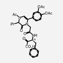 CC(=O)Oc1ccc(C2=CN(C(C)=O)C(C(C)C)C(=O)N2CC(=O)N[C@@H](Cc2ccccc2)C(=O)C(=O)O)cc1OC(C)=O